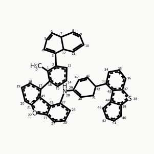 Cc1c(C2=CC=CC3C=CC=CC23)cccc1-c1cccc2oc3cccc(NC4=CCC(c5cccc6sc7ccccc7c56)C=C4)c3c12